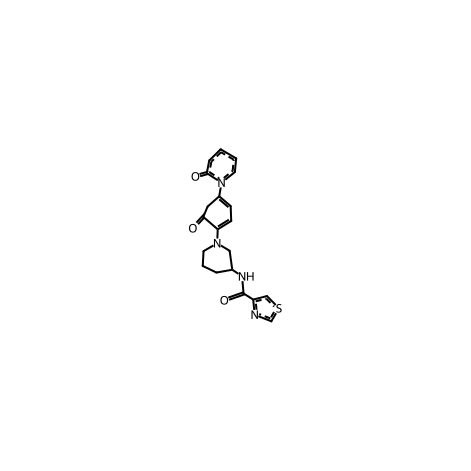 O=C1CC(n2ccccc2=O)=CC=C1N1CCCC(NC(=O)c2cscn2)C1